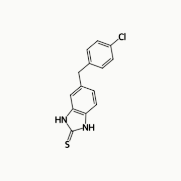 S=c1[nH]c2ccc(Cc3ccc(Cl)cc3)cc2[nH]1